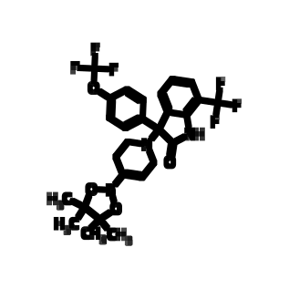 CC1(C)OB(C2=CCN(C3(c4ccc(OC(F)(F)F)cc4)C(=O)Nc4c(C(F)(F)F)cccc43)CC2)OC1(C)C